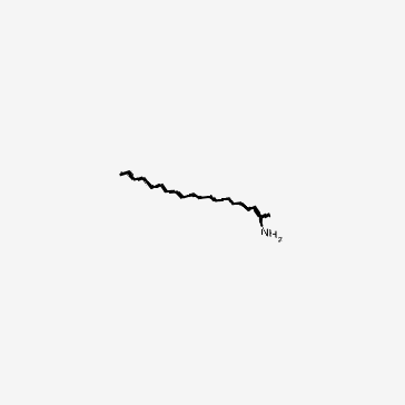 CCCCCCCCCCCCCCCCCC=C(C)CN